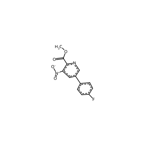 COC(=O)c1ncc(-c2ccc(F)cc2)cc1[N+](=O)[O-]